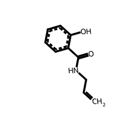 C=CCNC(=O)c1ccccc1O